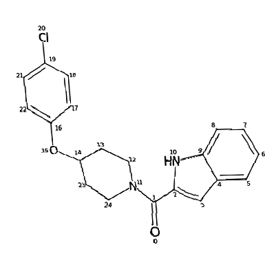 O=C(c1cc2ccccc2[nH]1)N1CCC(Oc2ccc(Cl)cc2)CC1